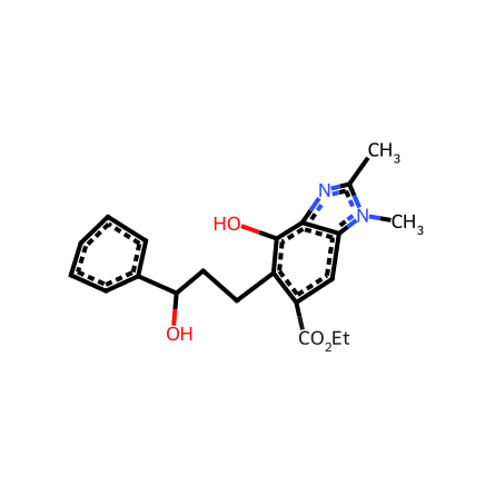 CCOC(=O)c1cc2c(nc(C)n2C)c(O)c1CCC(O)c1ccccc1